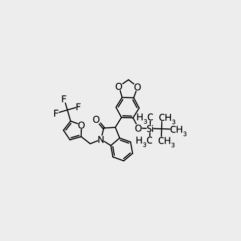 CC(C)(C)[Si](C)(C)Oc1cc2c(cc1C1C(=O)N(Cc3ccc(C(F)(F)F)o3)c3ccccc31)OCO2